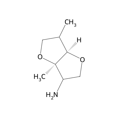 CC1CO[C@]2(C)C(N)CO[C@H]12